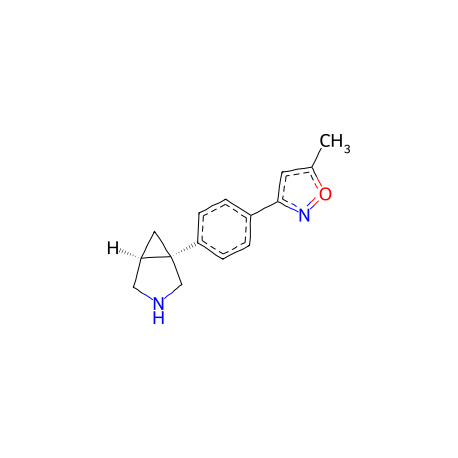 Cc1cc(-c2ccc([C@]34CNC[C@H]3C4)cc2)no1